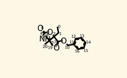 CCC(OC(N)=O)(C(=O)OCc1ccccc1)C(C)(C)C